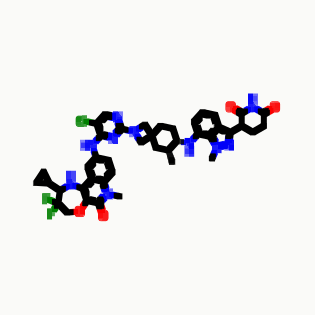 C[C@H]1CC2(CC[C@@H]1Nc1cccc3c(C4CCC(=O)NC4=O)nn(C)c13)CN(c1ncc(Cl)c(Nc3ccc4c(c3)c3c(c(=O)n4C)OCC(F)(F)C(C4CC4)N3)n1)C2